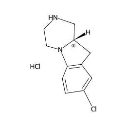 Cl.Clc1ccc2c(c1)C[C@H]1CNCCN21